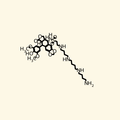 COc1cc(C2c3cc4c(cc3[C@@H](NS(=O)(=O)CCNCCCCNCCCCNCCCCN)[C@H]3COC(=O)[C@H]23)OCO4)cc(OC)c1O